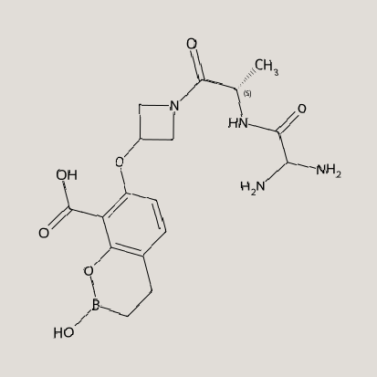 C[C@H](NC(=O)C(N)N)C(=O)N1CC(Oc2ccc3c(c2C(=O)O)OB(O)CC3)C1